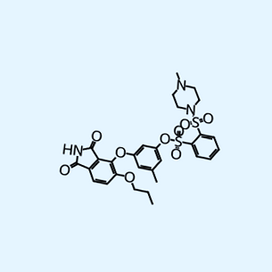 CCCOc1ccc2c(c1Oc1cc(C)cc(OS(=O)(=O)c3ccccc3S(=O)(=O)N3CCN(C)CC3)c1)C(=O)NC2=O